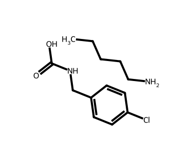 CCCCCN.O=C(O)NCc1ccc(Cl)cc1